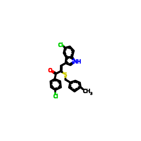 Cc1ccc(CSC(=Cc2c[nH]c3ccc(Cl)cc23)C(=O)c2ccc(Cl)cc2)cc1